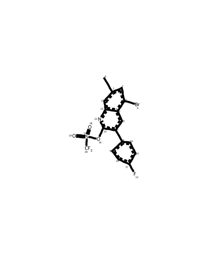 Cc1cc(Br)c2cc(-c3ccc(F)cc3)c(OS(=O)(=O)C(F)(F)F)nc2c1